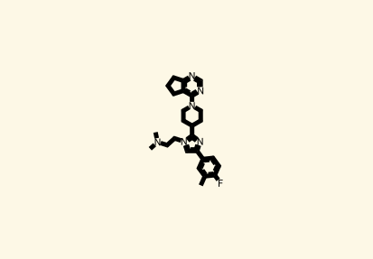 Cc1cc(-c2cn(CCN(C)C)c(C3CCN(c4ncnc5c4CCC5)CC3)n2)ccc1F